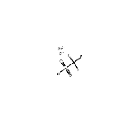 O=S(=O)([O-])C(F)(F)F.[Cl-].[Zn+2]